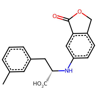 Cc1cccc(C[C@H](Nc2ccc3c(c2)C(=O)OC3)C(=O)O)c1